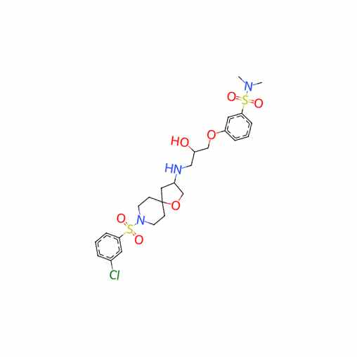 CN(C)S(=O)(=O)c1cccc(OCC(O)CNC2COC3(CCN(S(=O)(=O)c4cccc(Cl)c4)CC3)C2)c1